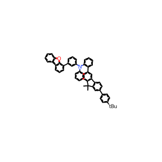 CC(C)(C)c1ccc(-c2ccc3c(c2)C(C)(C)c2ccc(-c4ccccc4N(c4ccccc4)c4cccc(-c5cccc6c5oc5ccccc56)c4)cc2-3)cc1